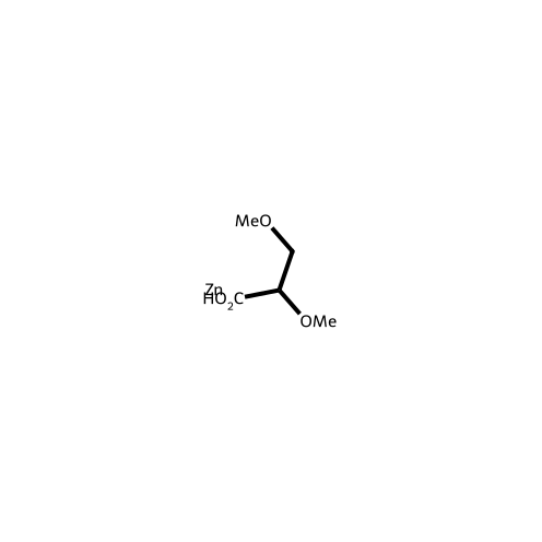 COCC(OC)C(=O)O.[Zn]